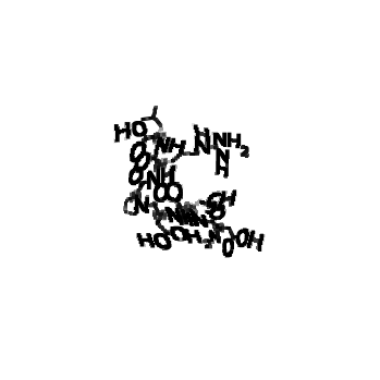 CC(C)C[C@H](NC(=O)[C@H](CCCNC(=N)N)NC(=O)[C@@H]1CCCN1C(=O)[C@H](CC(=O)O)NC(=O)[C@H](CS)NC(=O)[C@@H](N)CC(=O)O)C(=O)O